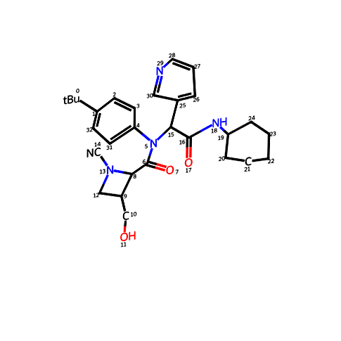 CC(C)(C)c1ccc(N(C(=O)C2C(CO)CN2C#N)C(C(=O)NC2CCCCC2)c2cccnc2)cc1